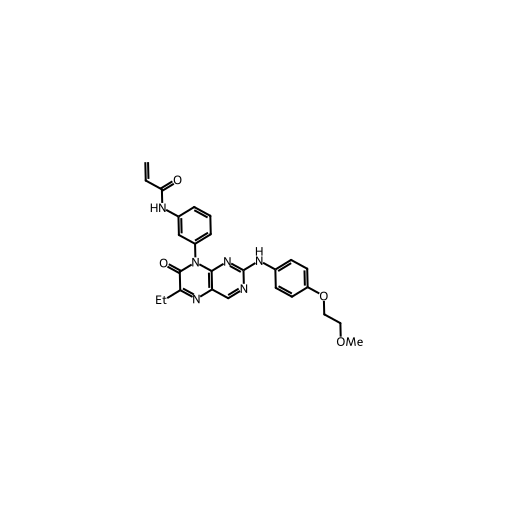 C=CC(=O)Nc1cccc(-n2c(=O)c(CC)nc3cnc(Nc4ccc(OCCOC)cc4)nc32)c1